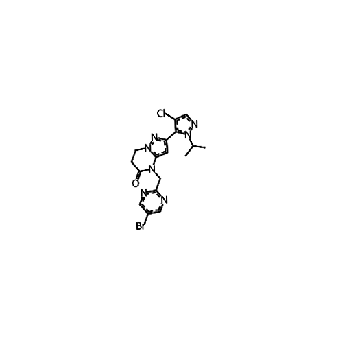 CC(C)n1ncc(Cl)c1-c1cc2n(n1)CCC(=O)N2Cc1ncc(Br)cn1